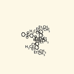 CCC(C)(C)c1cc(C(C)(C)CC)c2cc(OP(Oc3ccc(S(=O)(=O)c4ccccc4)cc3)Oc3cc4c(C(C)(C)CC)cc(C(C)(C)CC)cc4cc3C(C)(C)CC)c(C(C)(C)CC)cc2c1